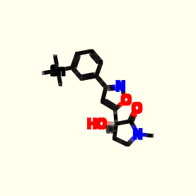 CN1CC[C@@](O)(c2cc(-c3ccc[c]([Sn]([CH3])([CH3])[CH3])c3)no2)C1=O